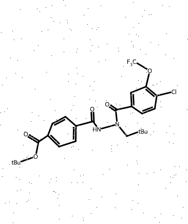 CC(C)(C)CN(NC(=O)c1ccc(C(=O)OC(C)(C)C)cc1)C(=O)c1ccc(Cl)c(OC(F)(F)F)c1